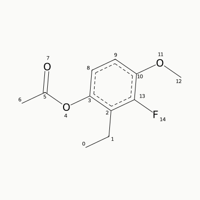 CCc1c(OC(C)=O)ccc(OC)c1F